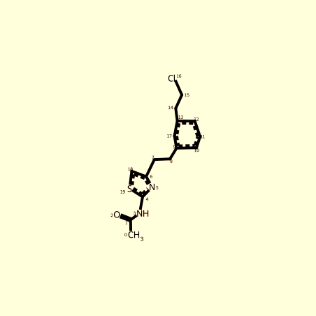 CC(=O)Nc1nc(CCc2cccc(CCCl)c2)cs1